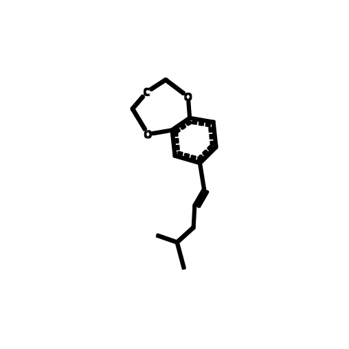 CC(C)CC=Cc1ccc2c(c1)OCCCO2